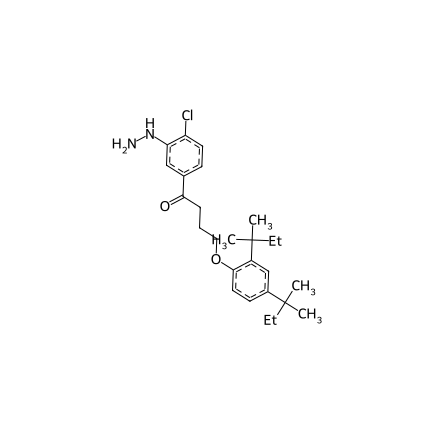 CCC(C)(C)c1ccc(OCCCC(=O)c2ccc(Cl)c(NN)c2)c(C(C)(C)CC)c1